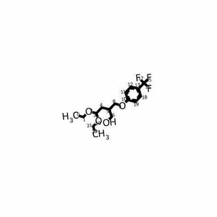 CCOC(CC(CO)COc1ccc(C(F)(F)F)cc1)OCC